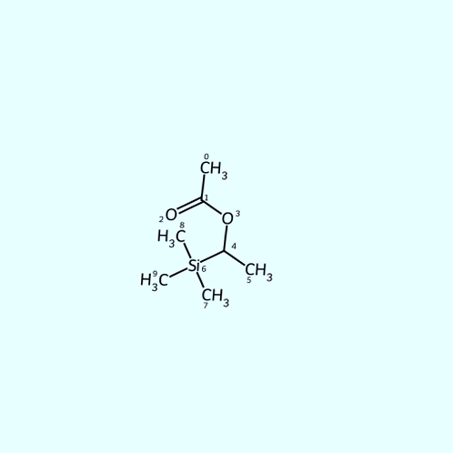 CC(=O)OC(C)[Si](C)(C)C